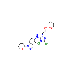 Clc1c(Nc2nc(Br)nn2CCOC2CCCCO2)ccc2c1cnn2C1CCCCO1